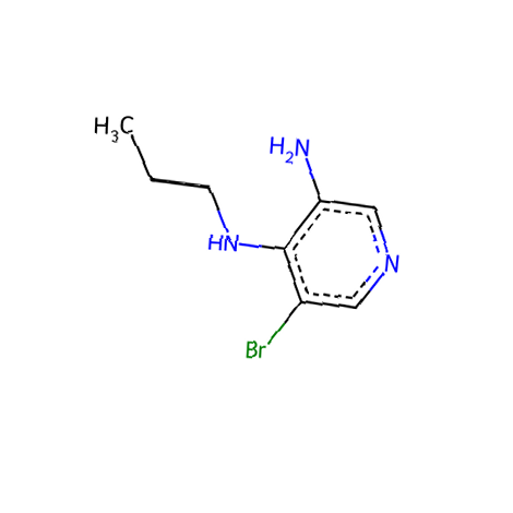 CCCNc1c(N)cncc1Br